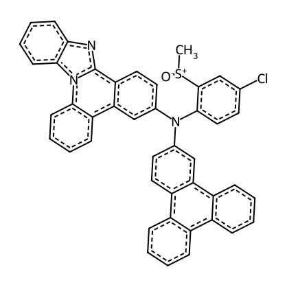 C[S+]([O-])c1cc(Cl)ccc1N(c1ccc2c3ccccc3c3ccccc3c2c1)c1ccc2c(c1)c1ccccc1n1c3ccccc3nc21